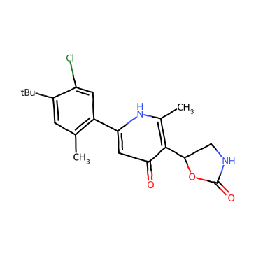 Cc1cc(C(C)(C)C)c(Cl)cc1-c1cc(=O)c(C2CNC(=O)O2)c(C)[nH]1